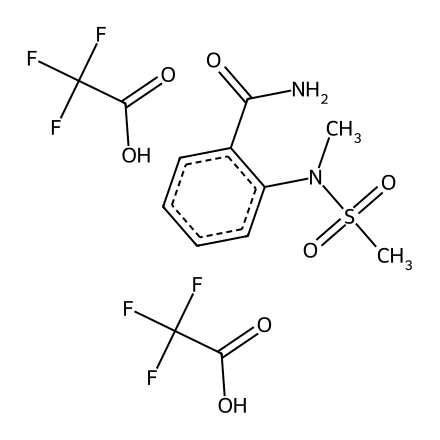 CN(c1ccccc1C(N)=O)S(C)(=O)=O.O=C(O)C(F)(F)F.O=C(O)C(F)(F)F